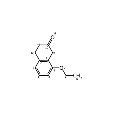 CCOc1cccc2c1CC(=O)CC2